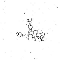 C=CC(=O)N1C[C@H](C)N(c2nc(NCCN3CCOCC3)nc3c(F)c(-c4c(C)ccc5onc(N)c45)c(C)cc23)C[C@H]1C